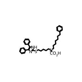 O=C(O)N(CCCCCCCc1ccccc1)CCCCCSc1nc(-c2ccccc2)c(-c2ccccc2)[nH]1